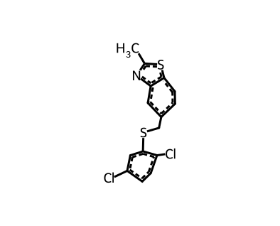 Cc1nc2cc(CSc3cc(Cl)ccc3Cl)ccc2s1